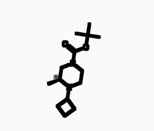 C[C@H]1CN(C(=O)OC(C)(C)C)CCN1C1CCC1